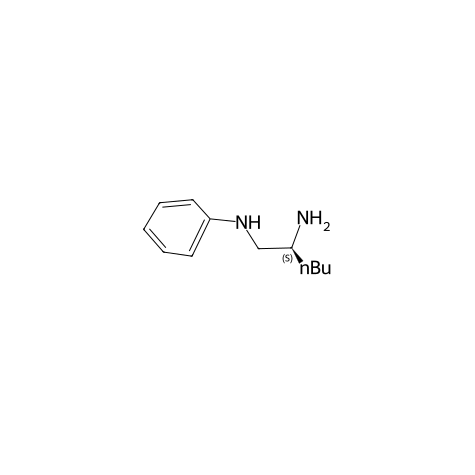 CCCC[C@H](N)CNc1ccccc1